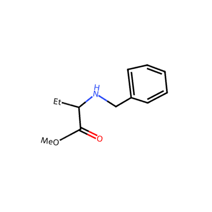 CCC(NCc1ccccc1)C(=O)OC